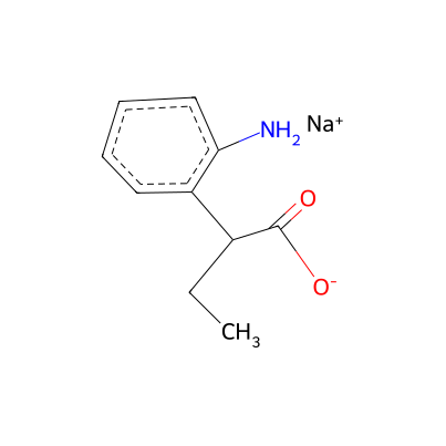 CCC(C(=O)[O-])c1ccccc1N.[Na+]